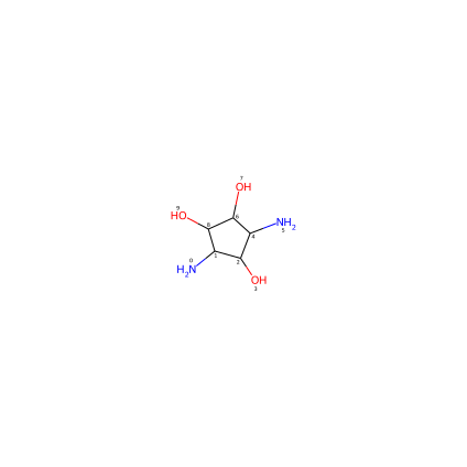 NC1C(O)C(N)C(O)C1O